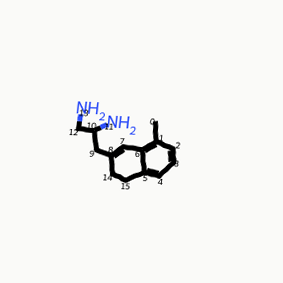 Cc1cccc2c1C=C(CC(N)CN)CC2